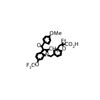 CCC1(C(=O)O)Cc2cc(Cn3c(C)c(C(=O)c4ccc(OC)cc4)c4ccc(OC(F)(F)F)cc43)ccc2O1